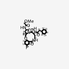 COCC(=O)N[C@H]1C[C@H]2COc3ccc(F)cc3C(=O)NCC[C@H](NC(=O)Cc3ccccc3)C(=O)N2C1